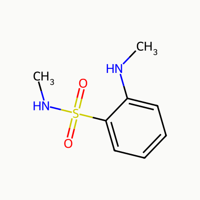 CNc1ccccc1S(=O)(=O)NC